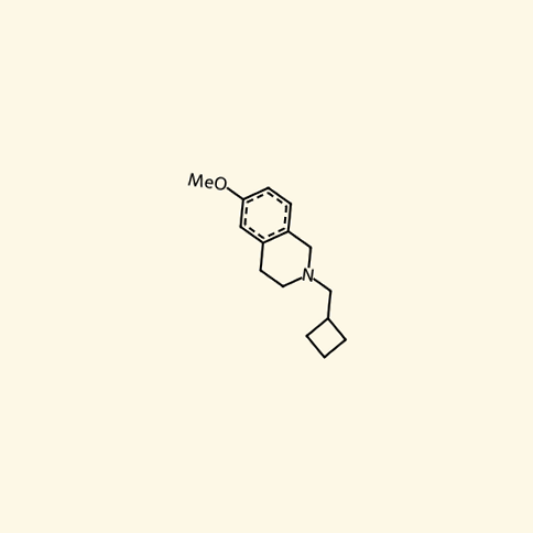 COc1ccc2c(c1)CCN(CC1CCC1)C2